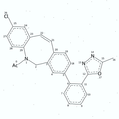 CC(=O)N1Cc2cc(-c3ccccc3-c3nnc(C)o3)ccc2/C=C\c2cc(Cl)ccc21